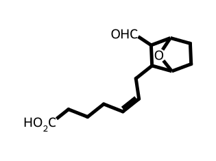 O=CC1C2CCC(O2)C1C/C=C\CCCC(=O)O